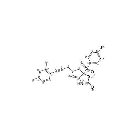 Cc1ccc(C#CCCCC2(S(=O)(=O)c3ccc(I)cc3)SC(=O)NC2=O)c(C)c1